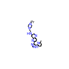 Cc1cccc(-c2[nH]cnc2-c2ccc3ncc(NCCN4CCN(C(C)C)CC4)cc3n2)n1